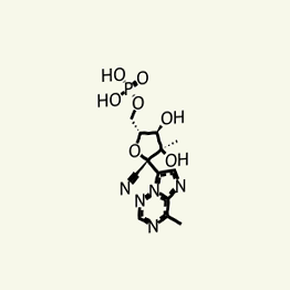 Cc1ncnn2c([C@]3(C#N)O[C@H](COP(=O)(O)O)[C@@H](O)[C@@]3(C)O)cnc12